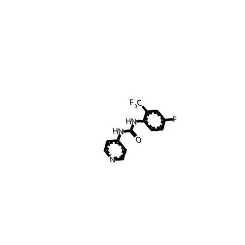 O=C(Nc1ccncc1)Nc1ccc(F)cc1C(F)(F)F